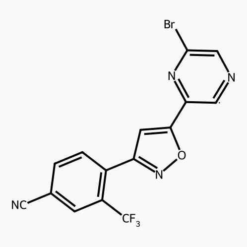 N#Cc1ccc(-c2cc(-c3[c]ncc(Br)n3)on2)c(C(F)(F)F)c1